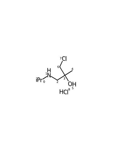 CC(C)NCC(C)(O)CCl.Cl